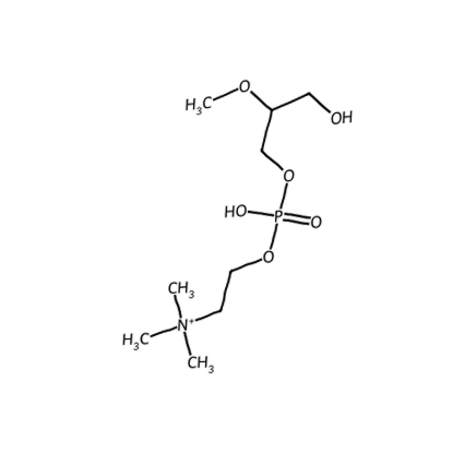 COC(CO)COP(=O)(O)OCC[N+](C)(C)C